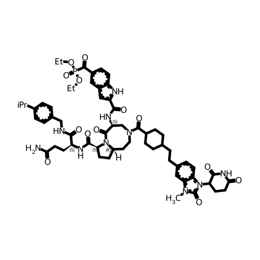 CCOP(=O)(OCC)C(=O)c1ccc2[nH]c(C(=O)N[C@H]3CN(C(=O)C4CCC(CCc5ccc6c(c5)n(C)c(=O)n6C5CCC(=O)NC5=O)CC4)CC[C@H]4CC[C@@H](C(=O)N[C@@H](CCC(N)=O)C(=O)NCc5ccc(C(C)C)cc5)N4C3=O)cc2c1